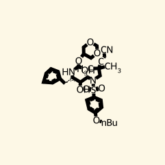 CCCCOc1ccc(S(=O)(=O)N(CC(O)[C@H](Cc2ccccc2)NC(O)OC2COCOC2)CC(C)(C)CCC#N)cc1